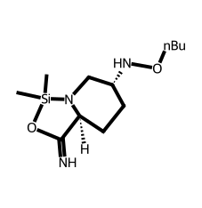 CCCCON[C@@H]1CC[C@H]2C(=N)O[Si](C)(C)N2C1